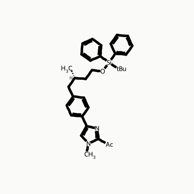 CC(=O)c1nc(-c2ccc(C[C@H](C)CCO[Si](c3ccccc3)(c3ccccc3)C(C)(C)C)cc2)cn1C